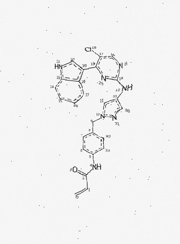 C=CC(=O)Nc1ccc(Cn2cc(Nc3ncc(Cl)c(-c4c[nH]c5ccccc45)n3)cn2)cc1